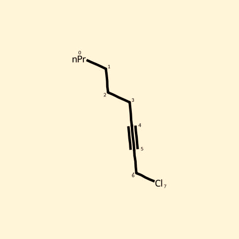 CCCCCCC#C[CH]Cl